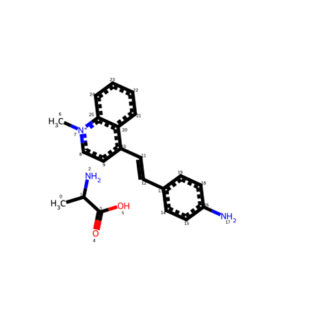 CC(N)C(=O)O.C[n+]1ccc(C=Cc2ccc(N)cc2)c2ccccc21